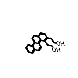 OCCc1ccc2ccc3c4ccccc4ccc3c2c1CCO